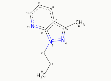 CCCn1nc(C)c2cccnc21